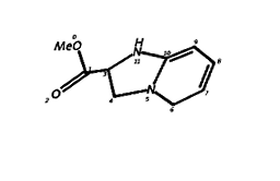 COC(=O)C1CN2CC=CC=C2N1